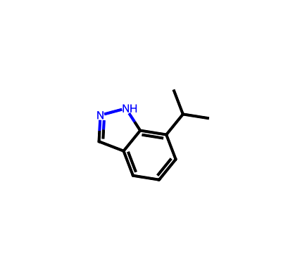 CC(C)c1cccc2cn[nH]c12